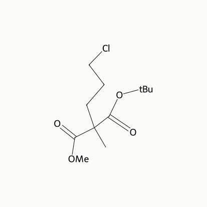 COC(=O)C(C)(CCCCl)C(=O)OC(C)(C)C